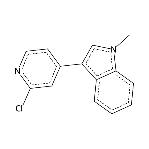 Cn1cc(-c2ccnc(Cl)c2)c2ccccc21